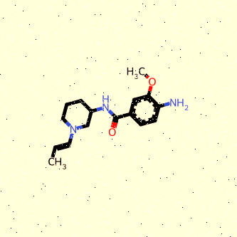 CC=CN1CCCC(NC(=O)c2ccc(N)c(OC)c2)C1